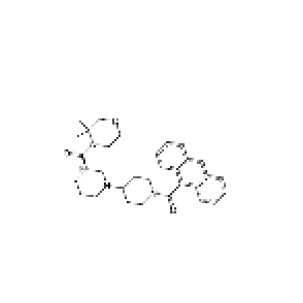 CC1(C)COCCN1C(=O)[C@@H]1CCCN(C2CCN(C(=O)c3c4ccccc4cc4ccccc34)CC2)C1